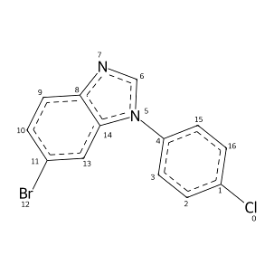 Clc1ccc(-n2cnc3ccc(Br)cc32)cc1